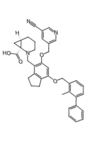 Cc1c(COc2cc(OCc3cncc(C#N)c3)c(CN3CCC[C@@H]4C[C@@]43C(=O)O)c3c2CCC3)cccc1-c1ccccc1